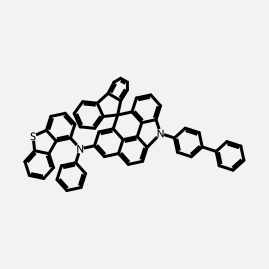 c1ccc(-c2ccc(-n3c4cccc5c4c4c6c(cc(N(c7ccccc7)c7cccc8sc9ccccc9c78)cc6ccc43)C53c4ccccc4-c4ccccc43)cc2)cc1